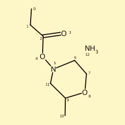 CCC(=O)ON1CCOC(C)C1.N